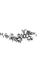 COCCNCc1cc2ncn(-c3cc(-c4ccc(F)cc4-c4nncn4C)cc(C4CC4)n3)c(=O)c2[nH]1